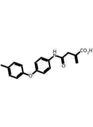 C=C(CC(=O)Nc1ccc(Oc2ccc(C)cc2)cc1)C(=O)O